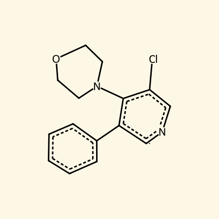 Clc1cn[c]c(-c2ccccc2)c1N1CCOCC1